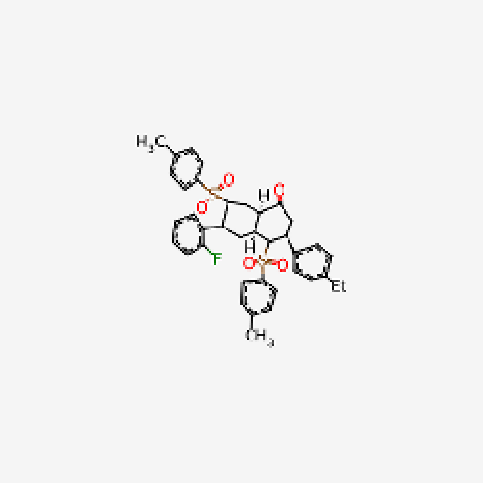 CCc1ccc([C@@H]2CC(=O)[C@@H]3CC(S(=O)(=O)c4ccc(C)cc4)[C@H](c4ccccc4F)C[C@@H]3C2S(=O)(=O)c2ccc(C)cc2)cc1